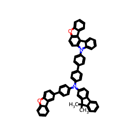 CC1(C)c2ccccc2-c2ccc(N(c3ccc(-c4ccc(-n5c6ccccc6c6c7c(ccc65)oc5ccccc57)cc4)cc3)c3ccc(-c4ccc5oc6ccccc6c5c4)cc3)cc21